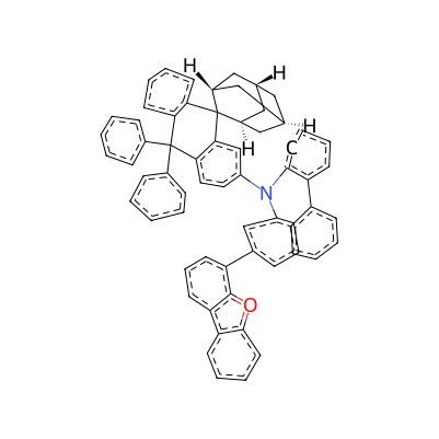 c1ccc(-c2ccccc2N(c2cccc(-c3cccc4c3oc3ccccc34)c2)c2ccc3c(c2)C2(c4ccccc4C3(c3ccccc3)c3ccccc3)[C@H]3C[C@H]4C[C@H](C[C@H]2C4)C3)cc1